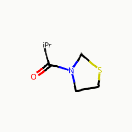 CC(C)C(=O)N1CCSC1